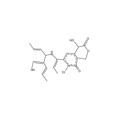 C/C=C/C(=C\CCC)C(/C=C/C)N/C(=C/C)c1cc2c(c(=O)n1CC)COC(=O)C2O